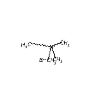 CCCCCCCCCCCCCCCC[N+](CCCCCCCC)(CCCCCCCC)CCCCCCCC.[Br-]